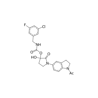 CC(=O)N1CCc2cc(N3CCC(O)(OC(=O)NCc4cc(F)cc(Cl)c4)C3=O)ccc21